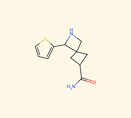 NC(=O)C1CC2(CNC2c2cccs2)C1